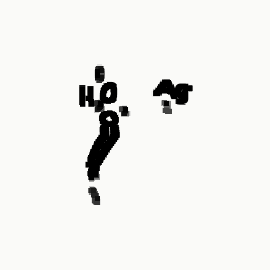 O.[Ag].[O]=[Ti]